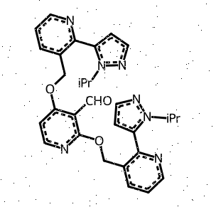 CC(C)n1nccc1-c1ncccc1COc1ccnc(OCc2cccnc2-c2ccnn2C(C)C)c1C=O